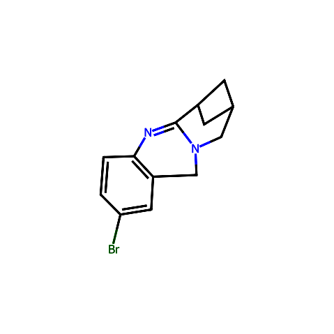 Brc1ccc2c(c1)CN1CC3CC(C3)C1=N2